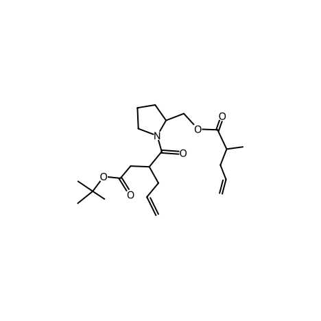 C=CCC(C)C(=O)OCC1CCCN1C(=O)C(CC=C)CC(=O)OC(C)(C)C